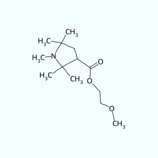 COCCOC(=O)C1CC(C)(C)N(C)C1(C)C